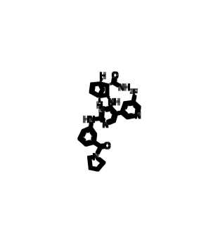 NC(=O)[C@@H]1[C@H](Nc2nc(Nc3cccc(C(=O)N4CCCC4)c3)ncc2-c2cncc(F)c2)[C@H]2C=C[C@@H]1C2